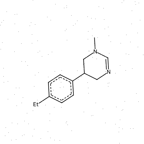 CCc1ccc(C2CN=CN(C)C2)cc1